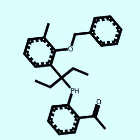 CCC(CC)(Pc1ccccc1C(C)=O)c1cccc(C)c1OCc1ccccc1